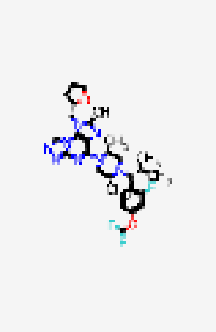 Cc1nc2c(N3C[C@@H](C)N([C@@H](c4ccc(OC(F)F)cc4F)C(C)C)C[C@@H]3C)nc3nncn3c2n1C[C@@H]1CCCO1